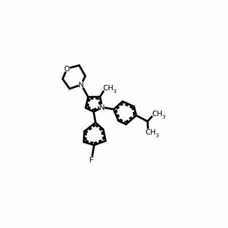 Cc1c(N2CCOCC2)cc(-c2ccc(F)cc2)n1-c1ccc(C(C)C)cc1